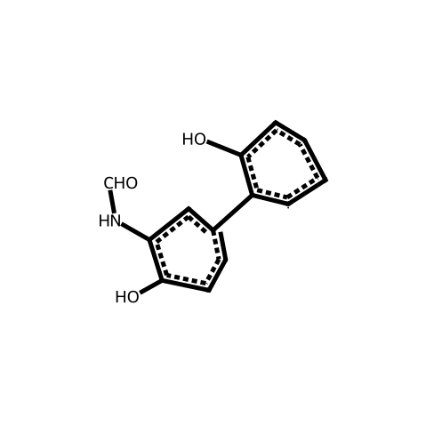 O=CNc1cc(-c2[c]cccc2O)ccc1O